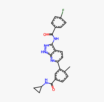 Cc1ccc(C(=O)NC2CC2)cc1-c1ccc2c(NC(=O)c3ccc(F)cc3)n[nH]c2n1